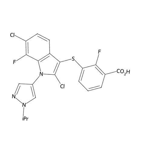 CC(C)n1cc(-n2c(Cl)c(Sc3cccc(C(=O)O)c3F)c3ccc(Cl)c(F)c32)cn1